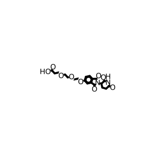 O=C(O)CCOCCOCCOc1ccc2c(c1)C(=O)N(C1CCC(=O)NC1=O)C2=O